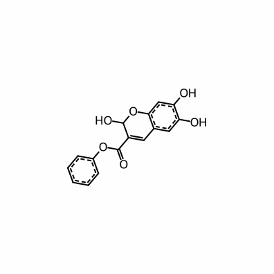 O=C(Oc1ccccc1)C1=Cc2cc(O)c(O)cc2OC1O